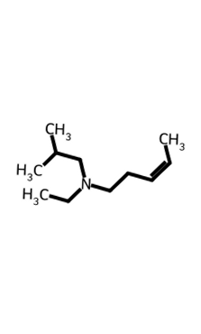 C/C=C\CCN(CC)CC(C)C